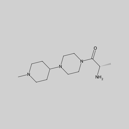 C[C@H](N)C(=O)N1CCN(C2CCN(C)CC2)CC1